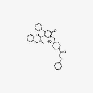 CN(Cc1ccccc1)C(=O)c1cn(CC2(O)CCN(C(=O)CCc3ccccc3)CC2)c(=O)cc1-c1ccccc1